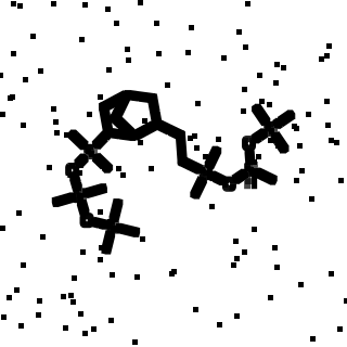 C[SiH](O[Si](C)(C)C)O[Si](C)(C)CCC1CC2CC1C([Si](C)(C)O[Si](C)(C)O[Si](C)(C)C)C2